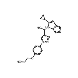 OCCOc1ccc(-n2cc(C(O)[SH]3C(C4CC4)=Nc4cncn43)nn2)cc1